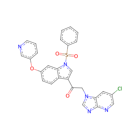 O=C(Cn1cnc2ncc(Cl)cc21)c1cn(S(=O)(=O)c2ccccc2)c2cc(Oc3cccnc3)ccc12